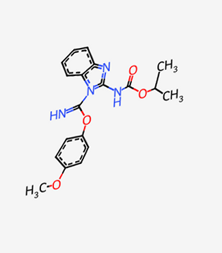 COc1ccc(OC(=N)n2c(NC(=O)OC(C)C)nc3ccccc32)cc1